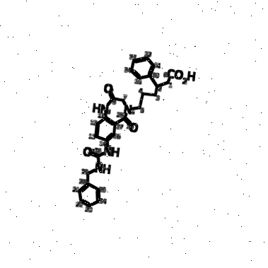 O=C(O)CC(CCCN1CC(=O)Nc2ccc(NC(=O)NCc3ccccc3)cc2C1=O)c1ccccc1